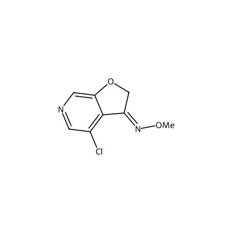 CON=C1COc2cncc(Cl)c21